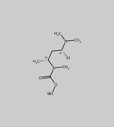 CC[C@H](C[C@@H](C)N(C)C(=O)OC(C)(C)C)N(C)C